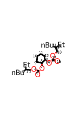 CCCCC(CC)COC(=O)OC1CCCCC1OC(=O)OCC(CC)CCCC